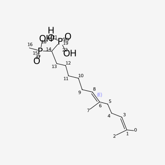 CC(C)=CCC/C(C)=C/CCCCCC(P(C)(=O)O)P(=O)(O)O